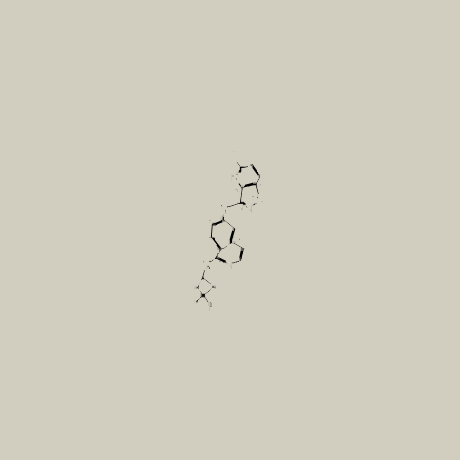 Fc1ccc2[nH]nc(Nc3ccc4c(NC5CC(F)(F)C5)nccc4c3)c2n1